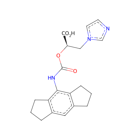 O=C(Nc1c2c(cc3c1CCC3)CCC2)O[C@H](Cn1ccnc1)C(=O)O